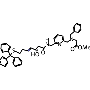 COC(=O)CN(Cc1ccccc1)Cc1cccc(CNC(=O)C[C@H](O)/C=C/CCSC(c2ccccc2)(c2ccccc2)c2ccccc2)n1